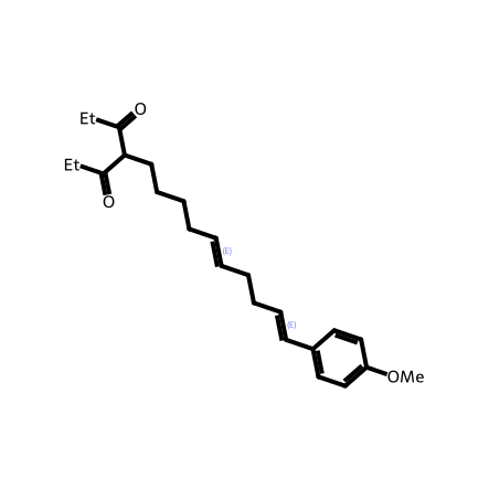 CCC(=O)C(CCCC/C=C/CC/C=C/c1ccc(OC)cc1)C(=O)CC